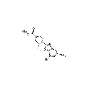 CC1CN(C(=O)OC(C)(C)C)CCN1c1nc2cc(C(F)(F)F)cc(Br)c2o1